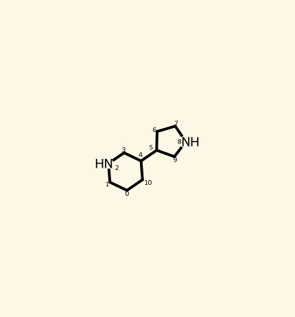 C1CNCC(C2CCNC2)C1